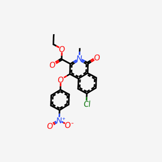 CCOC(=O)c1c(Oc2ccc([N+](=O)[O-])cc2)c2cc(Cl)ccc2c(=O)n1C